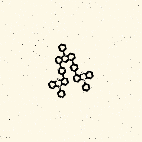 c1ccc(-c2c3cccc(-c4ccc(-c5cccc6c5Sc5ccccc5N6c5ccccc5)cc4)c3cc3c(-c4ccc(-c5cccc6c5Sc5ccccc5N6c5ccccc5)cc4)cccc23)cc1